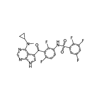 CN(c1ncnc2[nH]cc(C(=O)c3c(F)ccc(NS(=O)(=O)c4cc(F)cc(F)c4F)c3F)c12)C1CC1